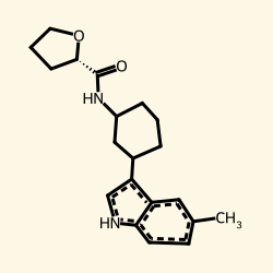 Cc1ccc2[nH]cc(C3CCCC(NC(=O)[C@@H]4CCCO4)C3)c2c1